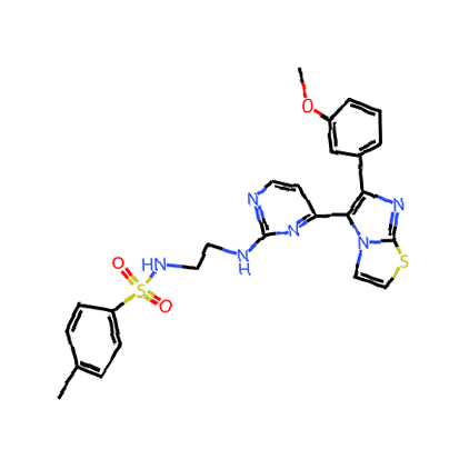 COc1cccc(-c2nc3sccn3c2-c2ccnc(NCCNS(=O)(=O)c3ccc(C)cc3)n2)c1